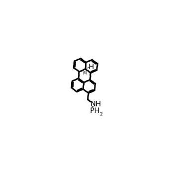 PNCc1ccc2c3c(cccc13)C1C=CC=C3C=CC=C2[C@H]31